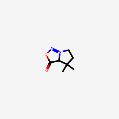 CC1(C)CC[N+]2=NOC(=O)C21